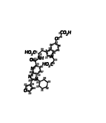 O=C(O)COc1ccc2c(c1)c(C[C@H](NC(=O)c1ccc3c(n1)nc(-c1ccoc1)n3C1CCCCC1)C(=O)O)cn2CC(=O)O